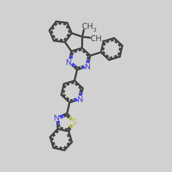 CC1(C)c2ccccc2-c2nc(-c3ccc(-c4nc5ccccc5s4)nc3)nc(-c3ccccc3)c21